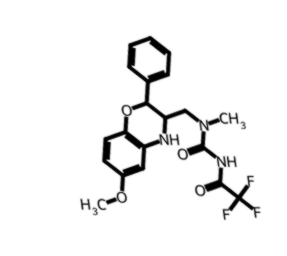 COc1ccc2c(c1)NC(CN(C)C(=O)NC(=O)C(F)(F)F)C(c1ccccc1)O2